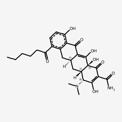 CCCCCC(=O)c1ccc(O)c2c1C[C@@H]1C[C@H]3[C@@H](N(C)C)C(O)=C(C(N)=O)C(=O)[C@@]3(O)C(O)=C1C2=O